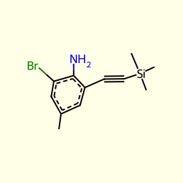 Cc1cc(Br)c(N)c(C#C[Si](C)(C)C)c1